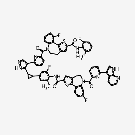 Cc1cc(C2CC2c2[nH]ncc2-c2cccc(C(=O)N3CCc4cc(C(=O)Nc5c(C)cccc5F)sc4-c4c(F)cccc43)n2)cc(F)c1NC(=O)c1cc2c(s1)-c1ccc(F)cc1N(C(=O)c1cccc(-c3c[nH]c4ncccc34)n1)CC2